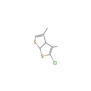 CC1=CSC2SC(Cl)=C(C)C12